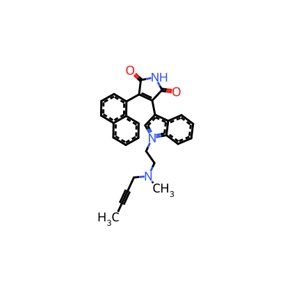 CC#CCN(C)CCn1cc(C2=C(c3cccc4ccccc34)C(=O)NC2=O)c2ccccc21